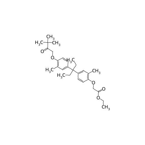 CCOC(=O)COc1ccc(C(CC)(CC)c2ccc(OCC(=O)C(C)(C)C)c(C)c2)cc1C